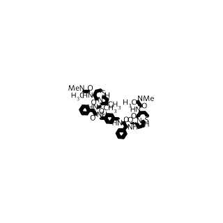 CN[C@@H](C)C(=O)N[C@H]1CCS[C@H]2CC[C@@H](C(=O)N[C@@H](C(=O)NCc3ccc(CNC(=O)[C@@H](NC(=O)[C@H]4N5C(=O)[C@H](NC(=O)[C@H](C)NC)CCS[C@H]5CC4(C)C)c4ccccc4)cc3)c3ccccc3)N2C1=O